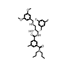 CCCN(CCC)C(=O)c1cc(C)cc(C(=O)N[C@@H](Cc2cc(F)cc(F)c2)[C@H](O)CNCc2cc(OC)cc(OC)c2)c1